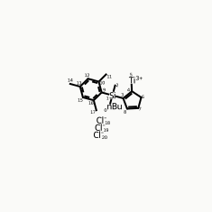 CCCC[Si](C)(C1=[C]([Ti+3])CC=C1)c1c(C)cc(C)cc1C.[Cl-].[Cl-].[Cl-]